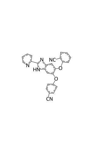 N#Cc1ccc(Oc2cc3[nH]c(-c4ccccn4)nc3cc2Oc2ccccc2C#N)cc1